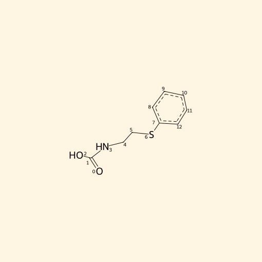 O=C(O)NCCSc1ccccc1